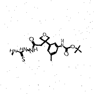 CNC(=S)NNC(=O)CC1(c2cc(C)cc(NC(=O)OC(C)(C)C)c2)COC1